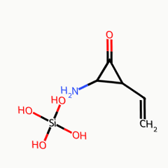 C=CC1C(=O)C1N.O[Si](O)(O)O